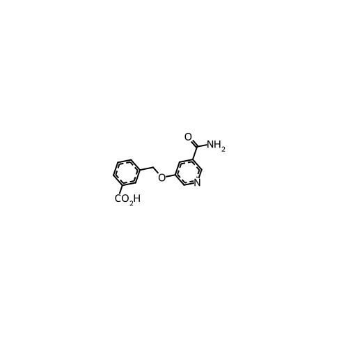 NC(=O)c1cncc(OCc2cccc(C(=O)O)c2)c1